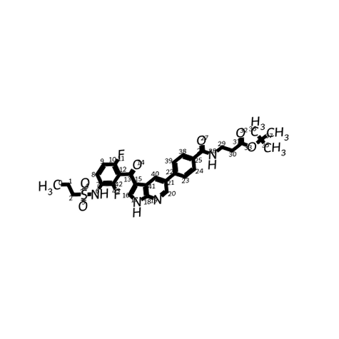 CCCS(=O)(=O)Nc1ccc(F)c(C(=O)c2c[nH]c3ncc(-c4ccc(C(=O)NCCC(=O)OC(C)(C)C)cc4)cc23)c1F